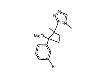 COC1(c2cccc(Br)c2)CCC1(C)c1nncn1C